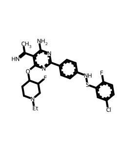 CCN1CCC(Oc2nc(-c3ccc(NSc4cc(Cl)ccc4F)cc3)nc(N)c2C(C)=N)C(F)C1